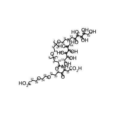 CC(C)(CCOC(C)(C)CCC(=O)N[C@@H](CC(=O)O)C(=O)CCCOCCOCCC(=O)O)OCCN(C[C@H](O)[C@@H](O)[C@H](O)[C@H](O)CO)C[C@H](O)[C@@H](O)[C@H](O)[C@H](O)CO